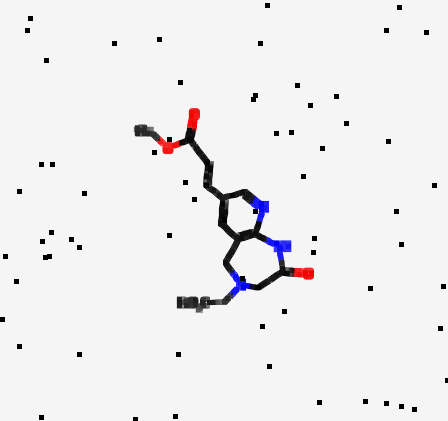 CCOC(=O)CN1CC(=O)Nc2ncc(C=CC(=O)OC(C)(C)C)cc2C1